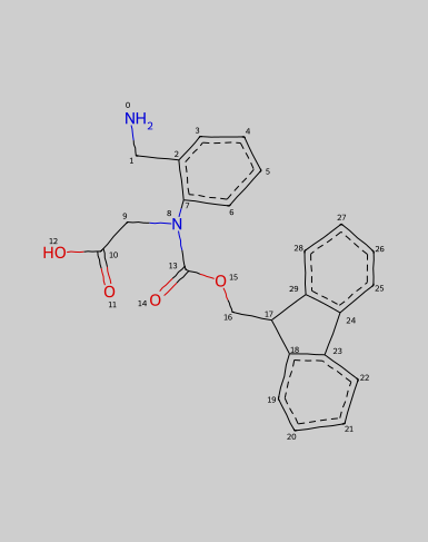 NCc1ccccc1N(CC(=O)O)C(=O)OCC1c2ccccc2-c2ccccc21